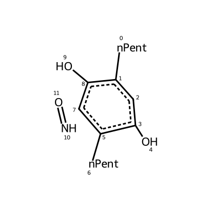 CCCCCc1cc(O)c(CCCCC)cc1O.N=O